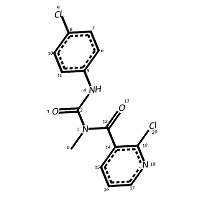 CN(C(=O)Nc1ccc(Cl)cc1)C(=O)c1cccnc1Cl